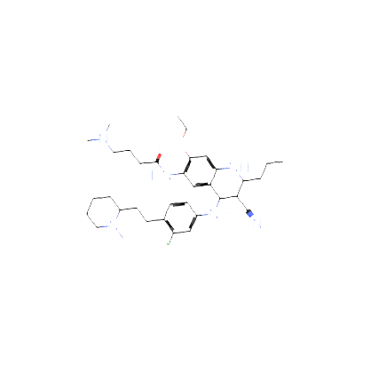 CCCC1Nc2cc(OCC)c(NC(=O)CCCN(C)C)cc2C(Nc2ccc(CCC3CCCCN3C)c(Cl)c2)C1C#N